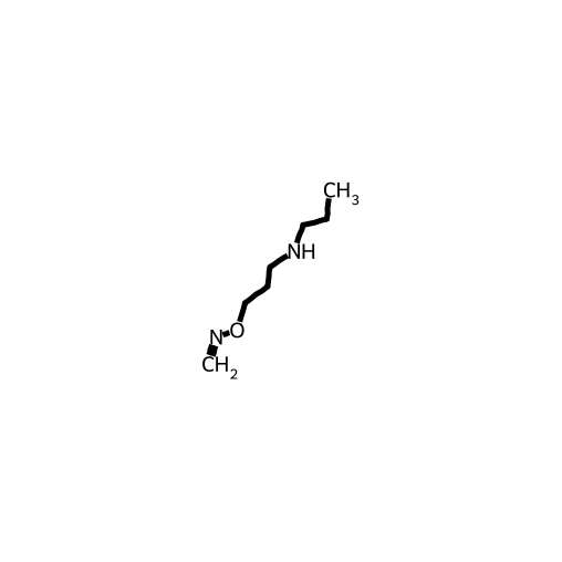 C=NOCCCNCCC